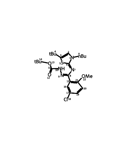 CCCCn1cc(C(C)(C)C)s/c1=N\C(=N/NC(=O)OC(C)(C)C)c1cc(Cl)ccc1OC